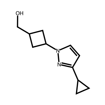 OCC1CC(n2ccc(C3CC3)n2)C1